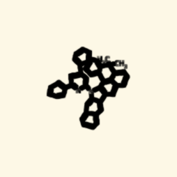 CC1(C)c2ccccc2-c2c3c1cccc3cc1c3cc4ccccc4cc3n(-c3cc(-c4ccccc4)cc(-c4ccccc4)n3)c21